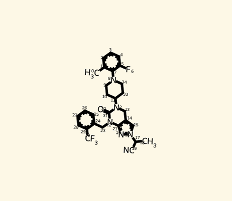 Cc1cccc(F)c1N1CCC(N2Cc3cn(C(C)C#N)nc3N(Cc3ccccc3C(F)(F)F)C2=O)CC1